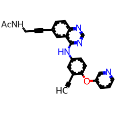 C#Cc1cc(Nc2ncnc3ccc(C#CCNC(C)=O)cc23)ccc1Oc1cccnc1